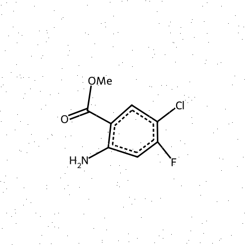 COC(=O)c1cc(Cl)c(F)cc1N